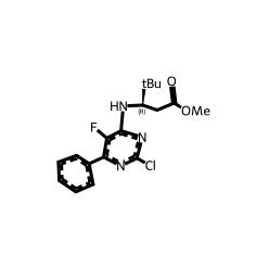 COC(=O)C[C@@H](Nc1nc(Cl)nc(-c2ccccc2)c1F)C(C)(C)C